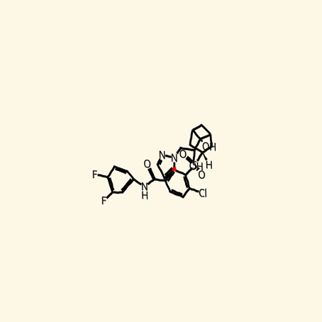 O=C(Nc1ccc(F)c(F)c1)c1ccc(Cl)c(S(=O)(=O)[C@H]2CC3CC(C2)[C@]3(O)C(O)Cn2cccn2)c1